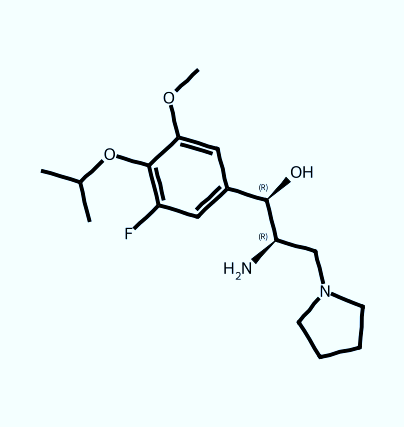 COc1cc([C@@H](O)[C@H](N)CN2CCCC2)cc(F)c1OC(C)C